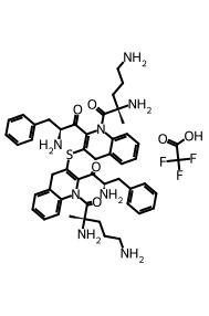 C[C@](N)(CCCN)C(=O)N1C(C(=O)[C@@H](N)Cc2ccccc2)=C(SC2=C(C(=O)[C@@H](N)Cc3ccccc3)N(C(=O)[C@@](C)(N)CCCN)c3ccccc3C2)Cc2ccccc21.O=C(O)C(F)(F)F